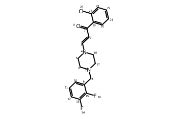 O=C(C=CN1CCN(Cc2cccc(F)c2F)CC1)c1ccccc1Cl